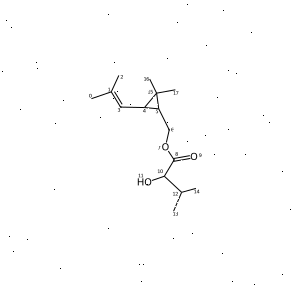 CC(C)=CC1C(COC(=O)C(O)C(C)C)C1(C)C